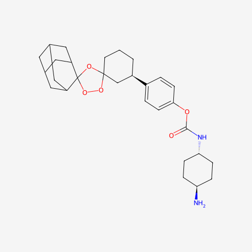 N[C@H]1CC[C@H](NC(=O)Oc2ccc([C@@H]3CCCC4(C3)OOC3(O4)C4CC5CC(C4)CC3C5)cc2)CC1